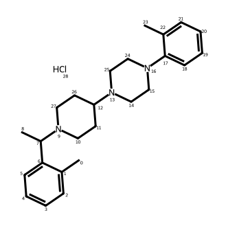 Cc1ccccc1C(C)N1CCC(N2CCN(c3ccccc3C)CC2)CC1.Cl